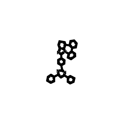 c1ccc(-c2cc(-c3ccccc3)nc(-c3ccc(-c4nc5cccc6c5n4-c4ccccc4-c4ccccc4-6)cc3)n2)cc1